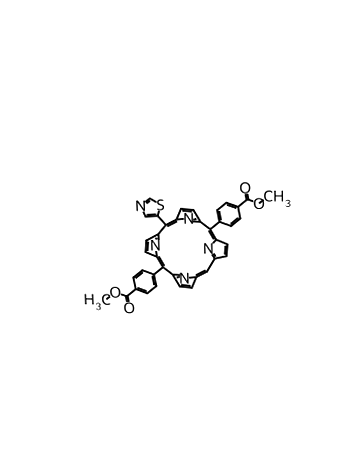 COC(=O)c1ccc(C2=C3C=CC(=N3)C=C3C=CC(=N3)C(c3ccc(C(=O)OC)cc3)=C3C=CC(=N3)C(c3cncs3)=C3C=CC2=N3)cc1